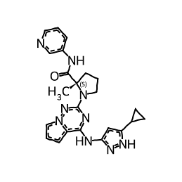 C[C@@]1(C(=O)Nc2cccnc2)CCCN1c1nc(Nc2cc(C3CC3)[nH]n2)c2cccn2n1